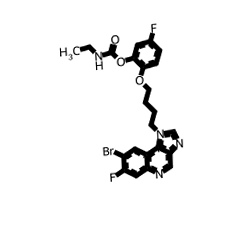 CCNC(=O)Oc1cc(F)ccc1OCCCCn1cnc2cnc3cc(F)c(Br)cc3c21